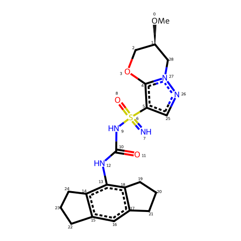 CO[C@@H]1COc2c(S(=N)(=O)NC(=O)Nc3c4c(cc5c3CCC5)CCC4)cnn2C1